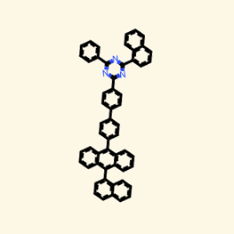 c1ccc(-c2nc(-c3ccc(-c4ccc(-c5c6ccccc6c(-c6cccc7ccccc67)c6ccccc56)cc4)cc3)nc(-c3cccc4ccccc34)n2)cc1